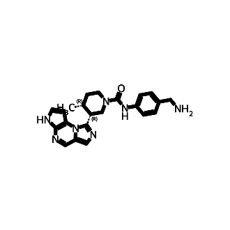 C[C@@H]1CCN(C(=O)Nc2ccc(CN)cc2)C[C@@H]1c1ncc2cnc3[nH]ccc3n12